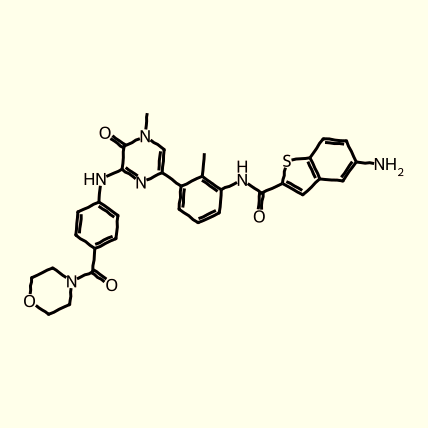 Cc1c(NC(=O)c2cc3cc(N)ccc3s2)cccc1-c1cn(C)c(=O)c(Nc2ccc(C(=O)N3CCOCC3)cc2)n1